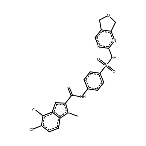 Cn1c(C(=O)Nc2ccc(S(=O)(=O)Nc3ncc4c(n3)COC4)cc2)cc2c(Cl)c(Cl)ccc21